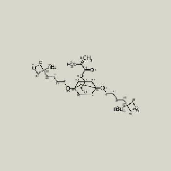 C=C(C)C(=O)OC12CC3CC(OCCCCC4(CCCC)COC4)(CC(OCCCCC4(CCCC)COC4)(C3)C1)C2